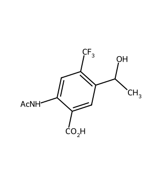 CC(=O)Nc1cc(C(F)(F)F)c(C(C)O)cc1C(=O)O